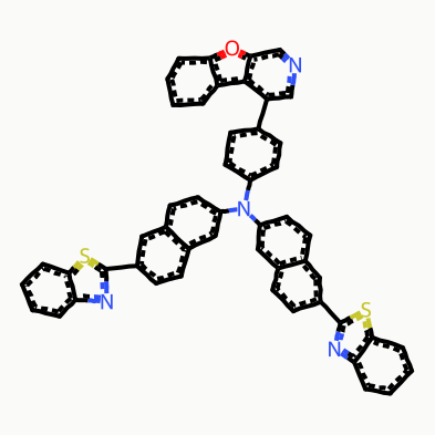 c1ccc2sc(-c3ccc4cc(N(c5ccc(-c6cncc7oc8ccccc8c67)cc5)c5ccc6cc(-c7nc8ccccc8s7)ccc6c5)ccc4c3)nc2c1